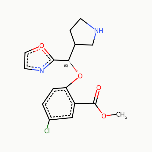 COC(=O)c1cc(Cl)ccc1O[C@H](c1ncco1)C1CCNC1